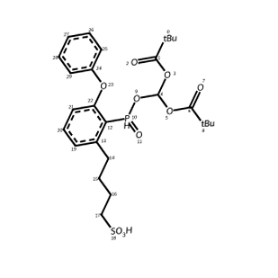 CC(C)(C)C(=O)OC(OC(=O)C(C)(C)C)O[PH](=O)c1c(CCCCS(=O)(=O)O)cccc1Oc1ccccc1